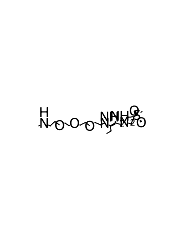 CC/C(=C(/N)CN1CC(S(C)(=O)=O)C1)N(N)CCOCCOCCOCCNC